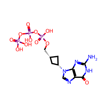 Nc1nc2c(ncn2[C@H]2C[C@@H](COP(=O)(O)OP(=O)(O)OP(=O)(O)O)C2)c(=O)[nH]1